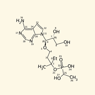 CCC(C)(CCO[C@H]([C@H](O)CO)n1ccc2c(N)ncnc21)OP(=O)(O)C(C)O